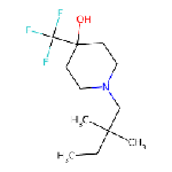 CCC(C)(C)CN1CCC(O)(C(F)(F)F)CC1